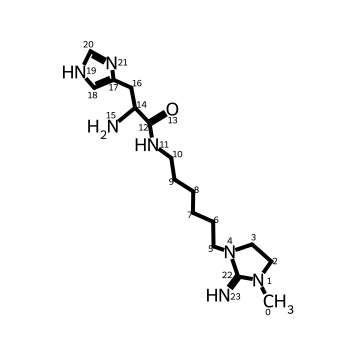 CN1CCN(CCCCCCNC(=O)C(N)Cc2c[nH]cn2)C1=N